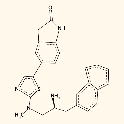 CN(C[C@@H](N)Cc1ccc2ccccc2c1)c1ncc(-c2ccc3c(c2)CC(=O)N3)s1